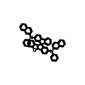 c1ccc(N(c2ccc3c(c2)C2(c4ccccc4-3)c3cc(N(c4ccccc4)c4ccc5ccccc5c4)ccc3-c3oc4ccccc4c32)c2ccc3ccccc3c2)cc1